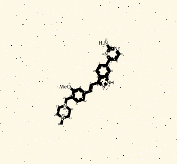 COc1cc(C=Cc2n[nH]c3cc(-c4ccnc(N)n4)ccc23)ccc1CN1CCN(C)CC1